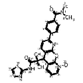 CCN(C)C(=O)c1ccc(-c2ccc3c(n2)Oc2c(ccc[n+]2[O-])C3C(C)(C)C(=O)Nc2nncs2)cc1